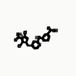 NC(=O)C1=C(Cl)C(Cc2ccnc(Nc3cccc(C(=O)O)c3)c2)C=C1Cl